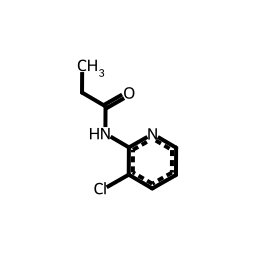 CCC(=O)Nc1ncccc1Cl